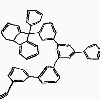 N#Cc1cccc(-c2cccc(-c3nc(-c4ccccc4)nc(-c4cccc(C5(c6ccccc6)C6=CC=CCC6c6ccccc65)c4)n3)c2)c1